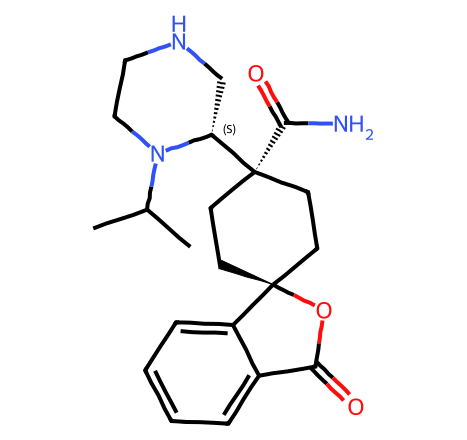 CC(C)N1CCNC[C@@H]1[C@]1(C(N)=O)CC[C@@]2(CC1)OC(=O)c1ccccc12